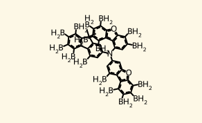 Bc1cc(N(c2cc(B)c3c(c2)oc2c(B)c(B)c(B)c(B)c23)c2cc(B)c(B)c3oc4c(B)c(B)c(B)c(B)c4c23)cc2c1-c1c(B)c(B)c(B)c(B)c1C2(C)C